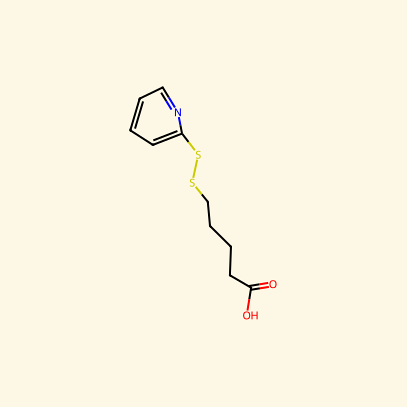 O=C(O)CCCCSSc1ccccn1